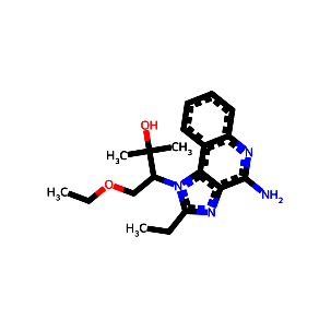 CCOCC(n1c(CC)nc2c(N)nc3ccccc3c21)C(C)(C)O